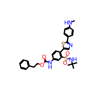 CNc1ccc(-c2ncc(-c3ccc(NC(=O)OCCc4ccccc4)cc3S(=O)(=O)NC(C)(C)C)s2)cc1